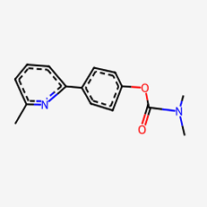 Cc1cccc(-c2ccc(OC(=O)N(C)C)cc2)n1